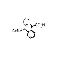 CC(=O)NC1c2ccccc2N(C(=O)O)C2CCCC12